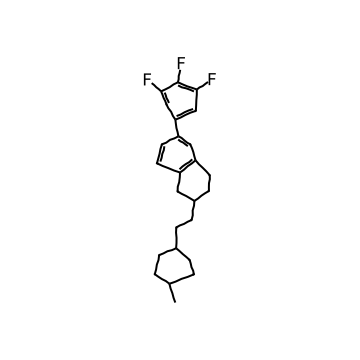 CC1CCC(CCC2CCc3cc(-c4cc(F)c(F)c(F)c4)ccc3C2)CC1